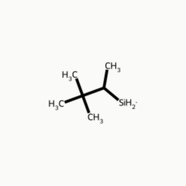 CC([SiH2])C(C)(C)C